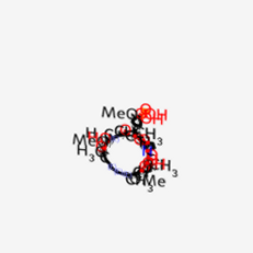 CO[C@H]1C[C@@H]2CC[C@@H](C)[C@@](O)(O2)C(=O)C(=O)N2CCCC[C@H]2C(=O)O[C@H]([C@H](C)C[C@@H]2CCC(OP(=O)(O)O)[C@H](OC)C2)CC(=O)[C@H](C)/C=C(\C)[C@@H](O)[C@@H](OC)C(=O)[C@H](C)CC/C=C/C=C/C=C/1C